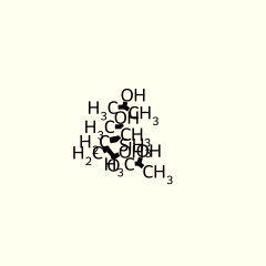 C=CC(=O)O.C=C[SiH3].CC(C)O.CC(C)O.CC(C)O